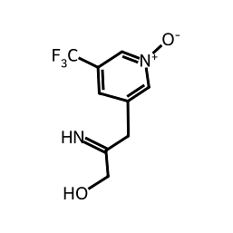 N=C(CO)Cc1cc(C(F)(F)F)c[n+]([O-])c1